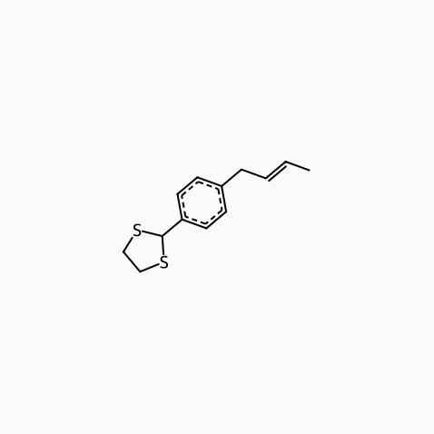 CC=CCc1ccc(C2SCCS2)cc1